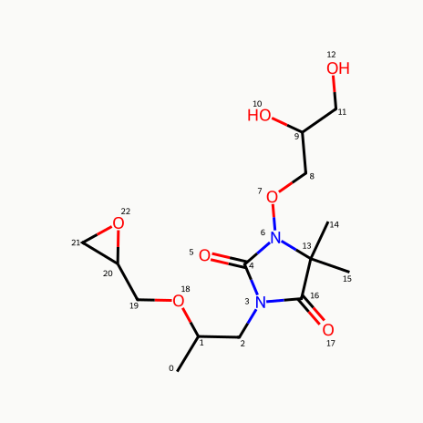 CC(CN1C(=O)N(OCC(O)CO)C(C)(C)C1=O)OCC1CO1